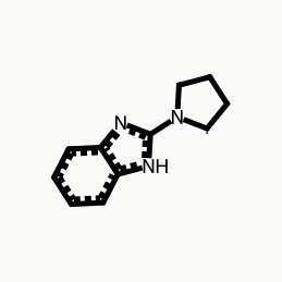 [CH]1CCCN1c1nc2ccccc2[nH]1